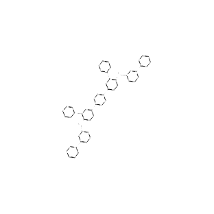 c1ccc(-c2cccc(Nc3ccc(-c4ccc(-c5ccc(Nc6cccc(-c7ccccc7)c6)c(-c6ccccc6)c5)cc4)cc3-c3ccccc3)c2)cc1